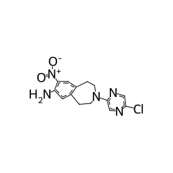 Nc1cc2c(cc1[N+](=O)[O-])CCN(c1cnc(Cl)cn1)CC2